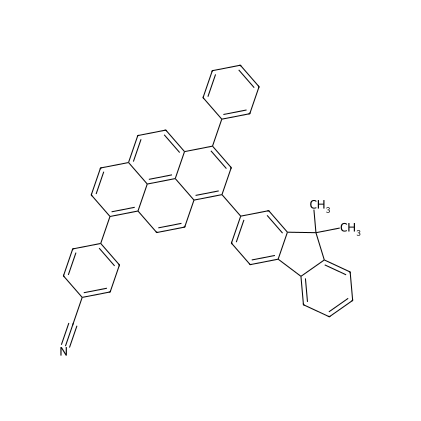 CC1(C)c2ccccc2-c2ccc(-c3cc(-c4ccccc4)c4ccc5ccc(-c6ccc(C#N)cc6)c6ccc3c4c56)cc21